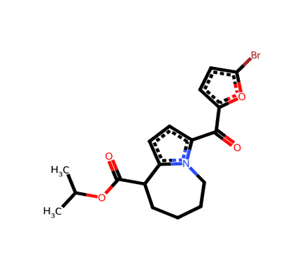 CC(C)OC(=O)C1CCCCn2c(C(=O)c3ccc(Br)o3)ccc21